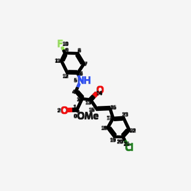 COC(=O)C(=CNc1ccc(F)cc1)C(=O)C=Cc1ccc(Cl)cc1